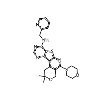 CC1(C)Cc2c(c(N3CCOCC3)nc3sc4c(NCc5ccccn5)ncnc4c23)CO1